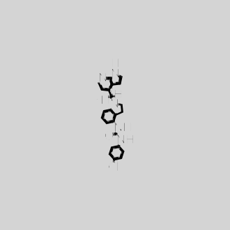 [2H]C([2H])(c1ccnc2[nH]ccc12)N1CCc2c(NC(=O)Nc3ccc(Cl)cc3)cccc21